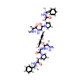 CN[C@@H](C)C(=O)N[C@@H](CC#CC#CC[C@H](NC(=O)[C@H](C)NC)C(=O)N1CCC[C@H]1CC(=O)N[C@H](C)c1ccccc1)C(=O)N1CCC[C@H]1CC(=O)N[C@H](C)c1ccccc1